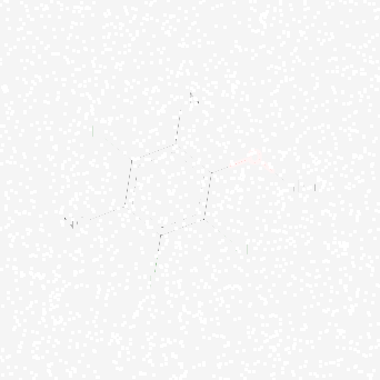 CCCCOc1c(Cl)c(F)c(C#N)c(F)c1C#N